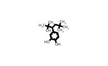 CC(C)(C)CC(c1ccc(O)c(O)c1)C(C)(C)C